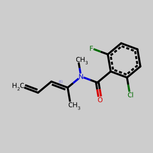 C=C/C=C(\C)N(C)C(=O)c1c(F)cccc1Cl